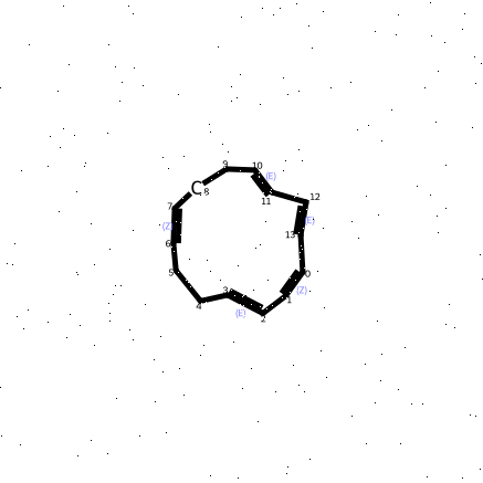 C1=C\C=C\CC/C=C\CC/C=C/C=C/1